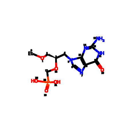 CCOC[C@H](Cn1cnc2c(=O)[nH]c(N)nc21)OCP(=O)(O)O